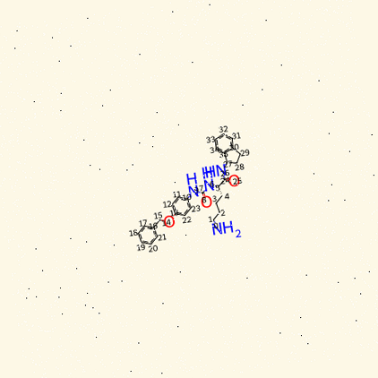 NCCCC[C@H](NC(=O)Nc1ccc(OCc2ccccc2)cc1)C(=O)NC1CCc2ccccc21